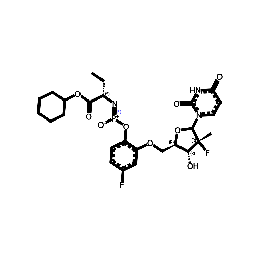 CC[C@H](/N=[P+](\[O-])Oc1ccc(F)cc1OC[C@H]1OC(n2ccc(=O)[nH]c2=O)[C@](C)(F)[C@@H]1O)C(=O)OC1CCCCC1